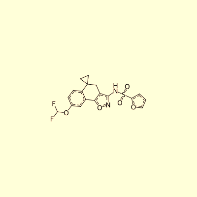 O=S(=O)(Nc1noc2c1CC1(CC1)c1ccc(OC(F)F)cc1-2)c1ccco1